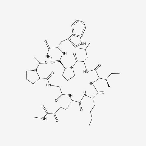 CCCC[C@H](NC(=O)[C@H](CCC(=O)C(=O)NC)NC(=O)CNC(=O)[C@@H]1CCCN1C(C)=O)C(=O)NC(C(=O)N[C@@H](CC(C)C)C(=O)N1CCC[C@H]1C(=O)N[C@@H](Cc1c[nH]c2ccccc12)C(N)=O)[C@H](C)CC